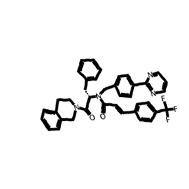 O=C([C@H](Cc1ccccc1)N(Cc1ccc(-c2ncccn2)cc1)C(=O)C=Cc1ccc(C(F)(F)F)cc1)N1CCc2ccccc2C1